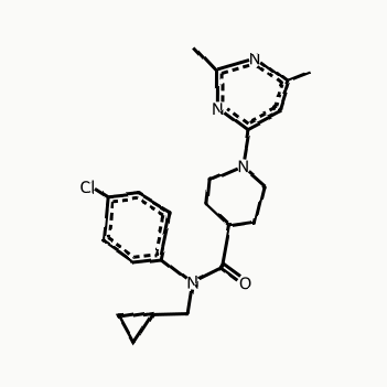 Cc1cc(N2CCC(C(=O)N(CC3CC3)c3ccc(Cl)cc3)CC2)nc(C)n1